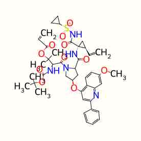 C=CC(=O)OC(C)(C)[C@H](NC(=O)OC(C)(C)C)C(=O)N1C[C@H](Oc2cc(-c3ccccc3)nc3cc(OC)ccc23)CC1C(=O)N[C@]1(C(=O)NS(=O)(=O)C2CC2)C[C@H]1C=C